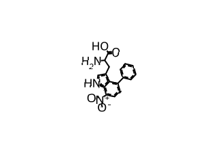 NC(Cc1c[nH]c2c([N+](=O)[O-])ccc(-c3ccccc3)c12)C(=O)O